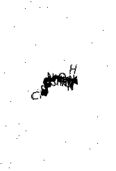 N#CC1(NC(=O)Cc2nnc(Cc3nc4ccc(-c5ccc(Cl)s5)cc4s3)o2)CC1